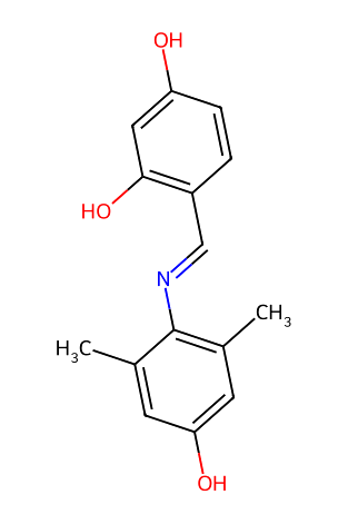 Cc1cc(O)cc(C)c1N=Cc1ccc(O)cc1O